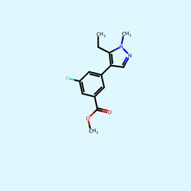 CCc1c(-c2cc(F)cc(C(=O)OC)c2)cnn1C